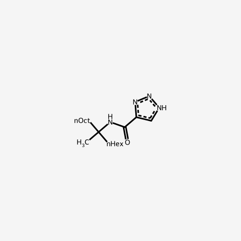 CCCCCCCCC(C)(CCCCCC)NC(=O)c1c[nH]nn1